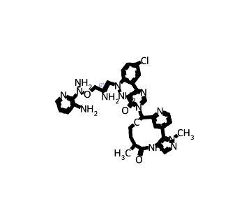 CC1CCCC(n2cnc(-c3cc(Cl)ccc3N(N)/C=C(\N)CON(N)c3ncccc3N)cc2=O)c2cc(ccn2)-c2c(cnn2C)NC1=O